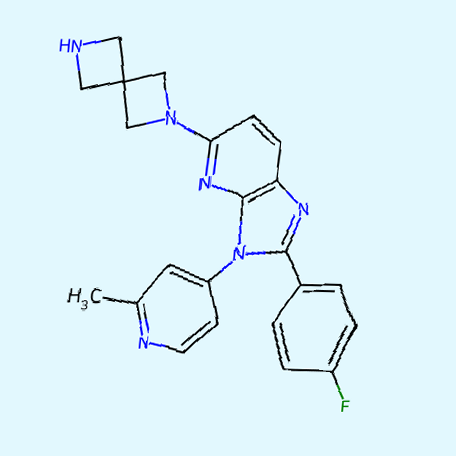 Cc1cc(-n2c(-c3ccc(F)cc3)nc3ccc(N4CC5(CNC5)C4)nc32)ccn1